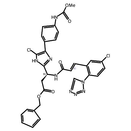 COC(=O)Nc1ccc(-c2nc([C@H](CC(=O)OCc3ccccc3)NC(=O)/C=C/c3cc(Cl)ccc3-n3cnnn3)[nH]c2Cl)cc1